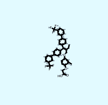 CCC(COc1ccc(OCC(=O)O)c(C)c1)=C(c1ccc(-c2cccc(C(F)(F)F)c2)cc1)c1ccc(-c2cccc(C(F)(F)F)c2)cc1